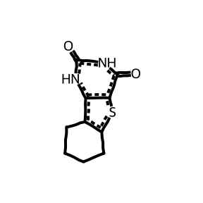 O=c1[nH]c(=O)c2sc3c(c2[nH]1)CCCC3